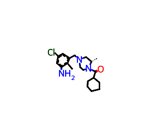 Cc1c(N)cc(Cl)cc1CN1CCN(C(=O)C2CCCCC2)[C@@H](C)C1